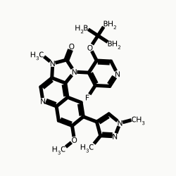 BC(B)(B)Oc1cncc(F)c1-n1c(=O)n(C)c2cnc3cc(OC)c(-c4cn(C)nc4C)cc3c21